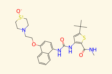 CNC(=O)c1sc(C(C)(C)C)cc1NC(=O)Nc1ccc(OCCN2CC[S+]([O-])CC2)c2ccccc12